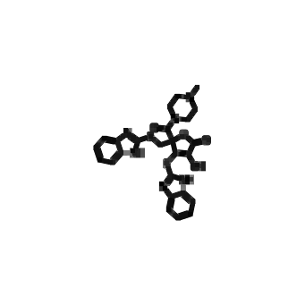 CN1CCN(C(=O)C2(CSc3nc4ccccc4[nH]3)OC(=O)C(O)=C2Sc2nc3ccccc3[nH]2)CC1